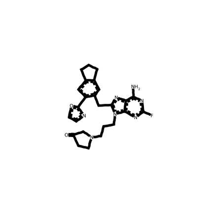 Nc1nc(F)nc2c1nc(Cc1cc3c(cc1-c1ncco1)CCC3)n2CCCN1CCC(=O)C1